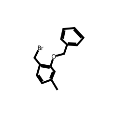 Cc1ccc(CBr)c(OCc2ccccc2)c1